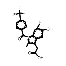 Cc1c(CC(=O)O)c2cc(O)c(F)cc2n1C(=O)c1ccc(C(F)(F)F)cc1